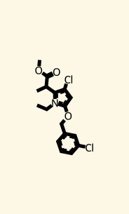 CCn1c(OCc2cccc(Cl)c2)cc(Cl)c1C(C)C(=O)OC